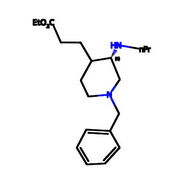 CCCN[C@@H]1CN(Cc2ccccc2)CCC1CCC(=O)OCC